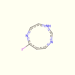 Ic1ccnc[nH]ccn1